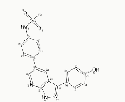 CS(=O)(=O)Nc1ccc(-c2cnc3[nH]nc(-c4ccc(O)cc4)c3c2)cc1